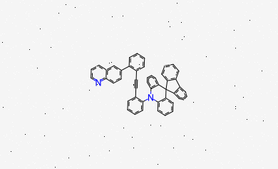 C(#Cc1ccccc1N1c2ccccc2C2(c3ccccc3-c3ccccc32)c2ccccc21)c1ccccc1-c1ccc2ncccc2c1